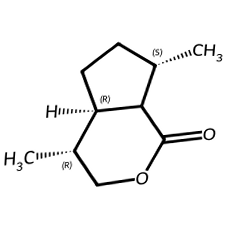 C[C@H]1CC[C@H]2C1C(=O)OC[C@@H]2C